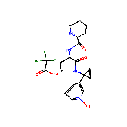 CC(C)CC(NC(=O)C1CCCCN1)C(=O)NC1(c2ccc[n+](O)c2)CC1.O=C(O)C(F)(F)F